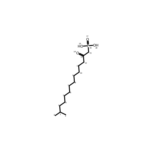 CC(C)CCCCCCCCCCC(=O)CP(=O)(O)O